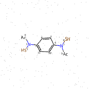 CC(=O)N(S)c1ccc(N(S)C(C)=O)cc1